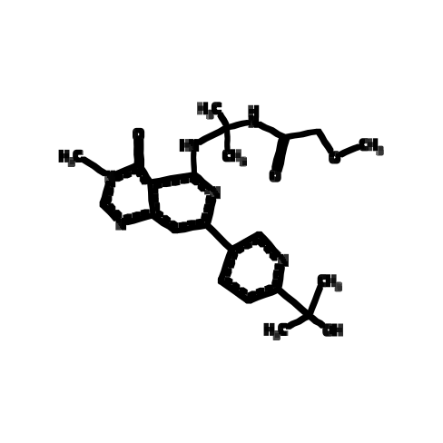 COCC(=O)NC(C)(C)Nc1nc(-c2ccc(C(C)(C)O)nc2)cc2ncn(C)c(=O)c12